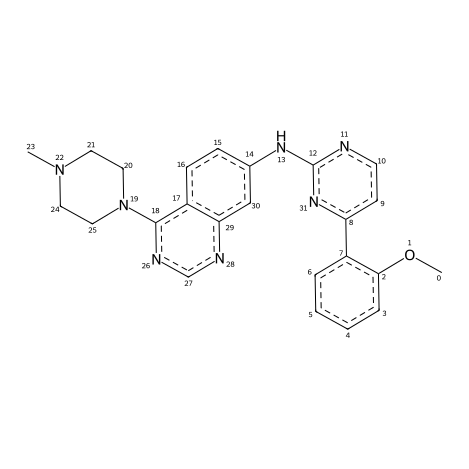 COc1ccccc1-c1ccnc(Nc2ccc3c(N4CCN(C)CC4)ncnc3c2)n1